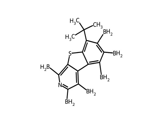 Bc1nc(B)c2sc3c(C(C)(C)C)c(B)c(B)c(B)c3c2c1B